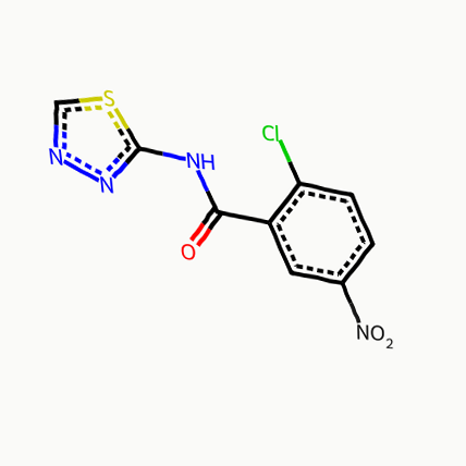 O=C(Nc1nncs1)c1cc([N+](=O)[O-])ccc1Cl